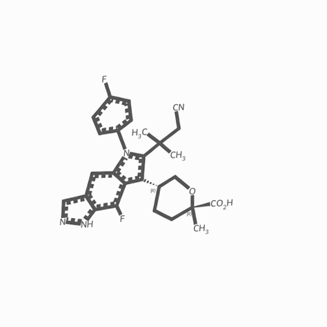 CC(C)(CC#N)c1c([C@H]2CC[C@](C)(C(=O)O)OC2)c2c(F)c3[nH]ncc3cc2n1-c1ccc(F)cc1